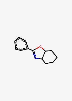 c1ccc(C2=NC3CCCCC3O2)cc1